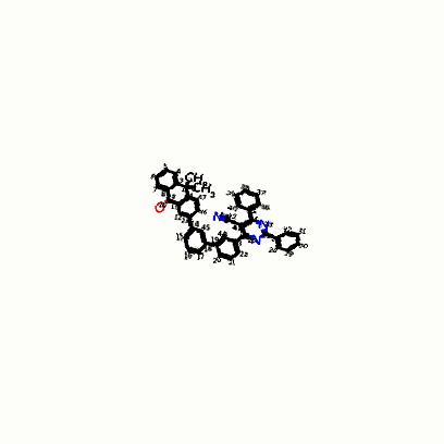 CC1(C)c2ccccc2C(=O)c2cc(-c3cccc(-c4cccc(-c5nc(-c6ccccc6)nc(-c6ccccc6)c5C#N)c4)c3)ccc21